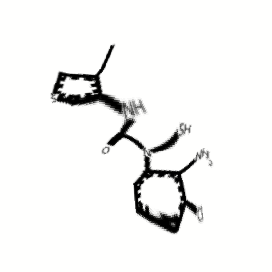 Cc1cscc1NC(=O)N(S)c1cccc(Cl)c1N